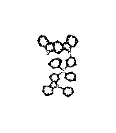 c1ccc(-n2c3ccccc3c3ccc([Si](c4ccccc4)(c4ccccc4)c4cccc(-n5c6ccccc6c6cc7c(cc65)sc5ccccc57)c4)cc32)cc1